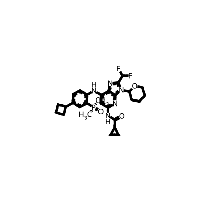 CP(C)(=O)c1cc(C2CCC2)ccc1Nc1cc(NC(=O)C2CC2)nc2c1nc(C(F)F)n2C1CCCCO1